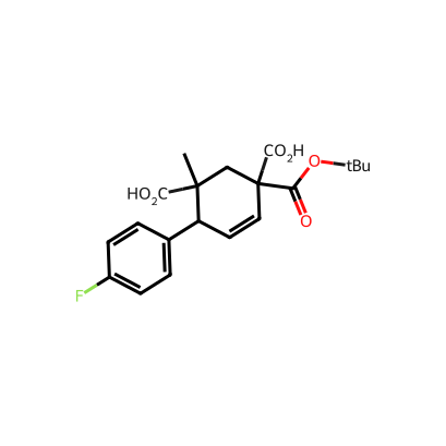 CC(C)(C)OC(=O)C1(C(=O)O)C=CC(c2ccc(F)cc2)C(C)(C(=O)O)C1